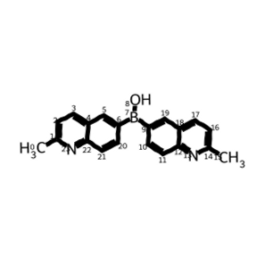 Cc1ccc2cc(B(O)c3ccc4nc(C)ccc4c3)ccc2n1